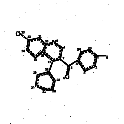 Cc1ccc(C(=O)c2cnc3cc(Cl)ccc3c2-c2ccccc2)cc1